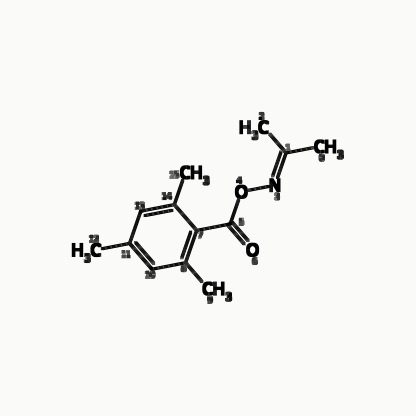 CC(C)=NOC(=O)c1c(C)cc(C)cc1C